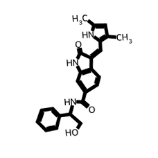 Cc1cc(C)c(/C=C2\C(=O)Nc3cc(C(=O)NC(CO)c4ccccc4)ccc32)[nH]1